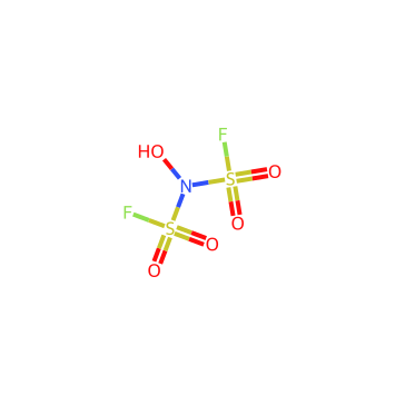 O=S(=O)(F)N(O)S(=O)(=O)F